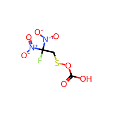 O=C(O)OSCC(F)([N+](=O)[O-])[N+](=O)[O-]